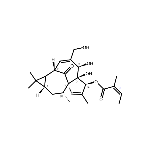 C/C=C(/C)C(=O)O[C@H]1C(C)=C[C@]23C(=O)[C@@H](C=C(CO)[C@@H](O)[C@]12O)C1[C@H](C[C@H]3C)C1(C)C